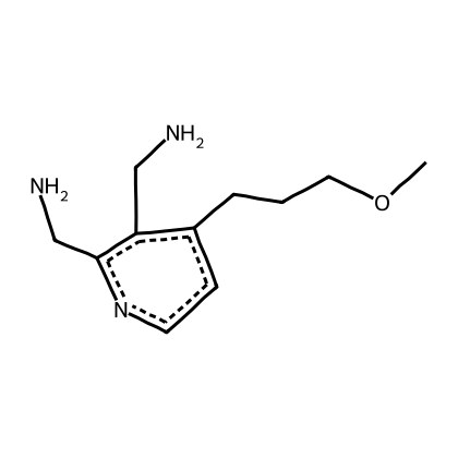 COCCCc1ccnc(CN)c1CN